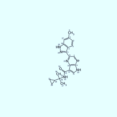 Cc1ccc2c(-c3cnc4[nH]cc(C(=O)NC(C)(C)C5CC5)c4n3)n[nH]c2c1